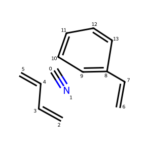 C#N.C=CC=C.C=Cc1ccccc1